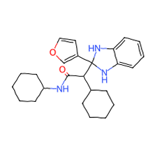 O=C(NC1CCCCC1)C(C1CCCCC1)C1(c2ccoc2)Nc2ccccc2N1